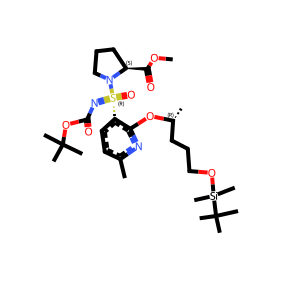 COC(=O)[C@@H]1CCCN1[S@@](=O)(=NC(=O)OC(C)(C)C)c1ccc(C)nc1O[C@H](C)CCCO[Si](C)(C)C(C)(C)C